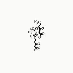 CC(C)(C)[O][Al+2].CCCC(=O)CC(=O)[O-].CCCC(=O)CC(=O)[O-]